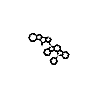 O=C1c2c3cccccc-3cc2-c2scc(-n3c4ccccc4c4c3ccc3c5ccccc5n(-c5ccccc5)c34)c21